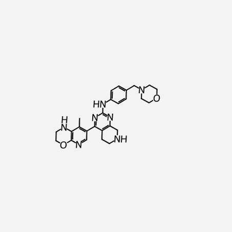 Cc1c(-c2nc(Nc3ccc(CN4CCOCC4)cc3)nc3c2CCNC3)cnc2c1NCCO2